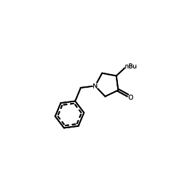 CCCCC1CN(Cc2ccccc2)CC1=O